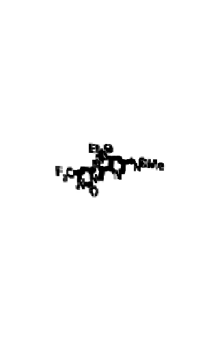 CCS(=O)(=O)c1cc(/C=N/OC)cnc1-c1cn2c(=O)n(C)c(C(F)(F)F)cc2n1